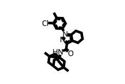 Cc1ccc(-n2nc(C(=O)NC34CC5CC(C)(CC(C)(C5)C3)C4)c3c2CCCC3)cc1Cl